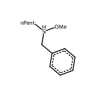 CCCCC[SiH](Cc1ccccc1)OC